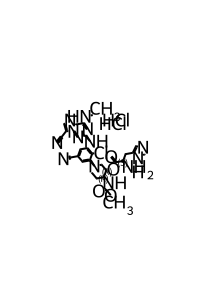 CCNc1nc(Nc2cc(C#N)cc(N3CC[C@@H](NC(=O)OC)[C@H](OC(=O)[C@@H](N)Cc4cnc[nH]4)C3)c2Cl)nn2c(C#N)cnc12.Cl.Cl